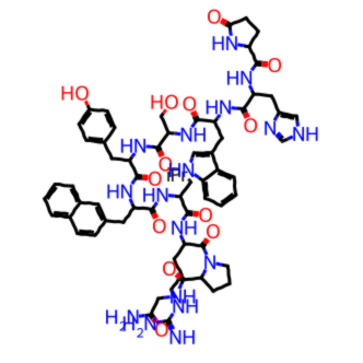 CC(C)CC(NC(=O)C(Cc1ccc2ccccc2c1)NC(=O)C(Cc1ccc(O)cc1)NC(=O)C(CO)NC(=O)C(Cc1c[nH]c2ccccc12)NC(=O)C(Cc1c[nH]cn1)NC(=O)C1CCC(=O)N1)C(=O)NC(CCCNC(=N)N)C(=O)N1CCCC1C(=O)NCC(N)=O